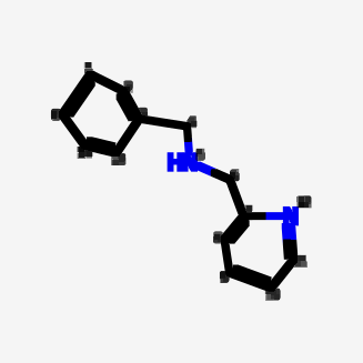 c1ccc(CNCc2ccccn2)cc1